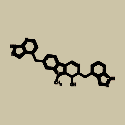 Cn1c2c(c3ccc(Cc4ccnc5[nH]ncc45)cc31)C=NN(Cc1cccc3[nH]ncc13)C2O